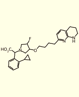 O=C(O)C(c1ccccc1C1CC1)N1CC(F)C(OCCCCc2ccc3c(n2)NCCC3)C1